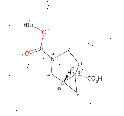 CC(C)(C)OC(=O)N1CC[C@@]2(C(=O)O)C[C@@H]2C1